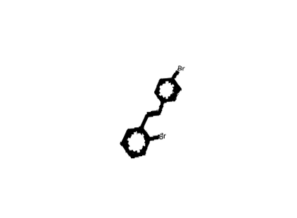 Brc1ccc(/C=C/c2ccccc2Br)cc1